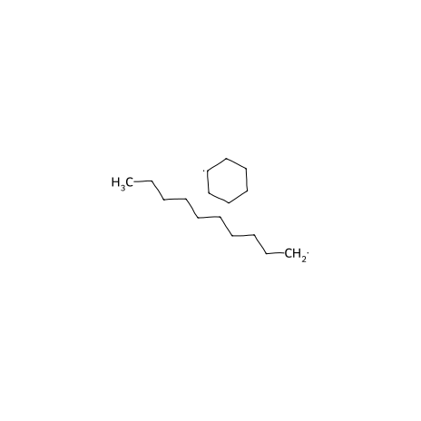 [CH2]CCCCCCCCC.[CH]1CCCCC1